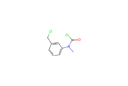 CN(C(=O)Cl)c1cccc(CCl)c1